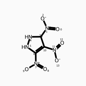 O=[N+]([O-])[C]1NNC([N+](=O)[O-])=C1[N+](=O)[O-]